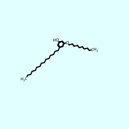 CCCCCCCCCCCCCCCc1cc(O)cc(OCCCCCCCCCC)c1